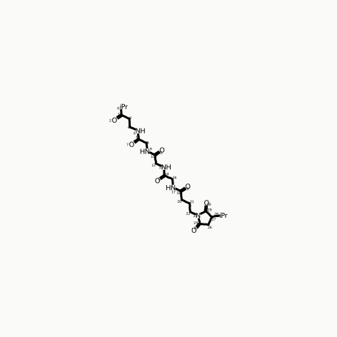 CC(C)C(=O)CCNC(=O)CNC(=O)CNC(=O)CNC(=O)CCCN1C(=O)CC(C(C)C)C1=O